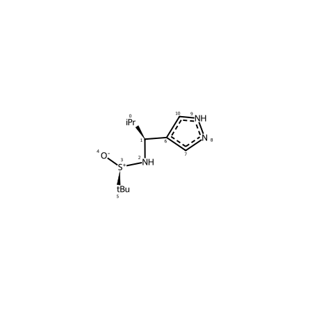 CC(C)[C@H](N[S@+]([O-])C(C)(C)C)c1cn[nH]c1